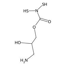 NCC(O)COC(=O)N(S)S